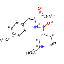 CNC(=O)[C@H](Cc1ccc(OC)cc1)NC(=O)C(CNC(=O)O)CC(C)C